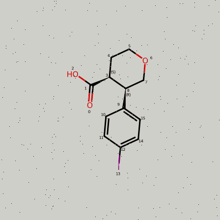 O=C(O)[C@H]1CCOC[C@H]1c1ccc(I)cc1